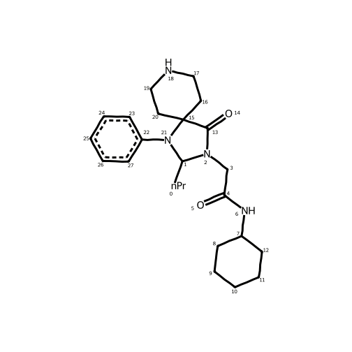 CCCC1N(CC(=O)NC2CCCCC2)C(=O)C2(CCNCC2)N1c1ccccc1